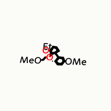 CCOc1cccc(-c2[c]ccc(OC)c2)c1OCCOC